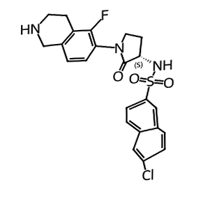 O=C1[C@@H](NS(=O)(=O)c2ccc3cc(Cl)ccc3c2)CCN1c1ccc2c(c1F)CCNC2